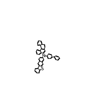 c1ccc(-c2ccc(N(c3ccc4cc5c(cc4c3)sc3ccccc35)c3cc4ccc5ccccc5c4c4ccccc34)cc2)cc1